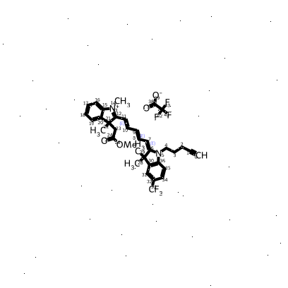 C#CCCCN1/C(=C/C=C/C=C/C2=[N+](C)c3ccccc3C2(C)CC(=O)OC)C(C)(C)c2cc(C(F)(F)F)ccc21.O=C([O-])C(F)(F)F